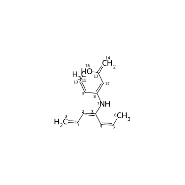 C=C/C=C(\C=C/C)NC(/C=C\C)=C/C(=C)O